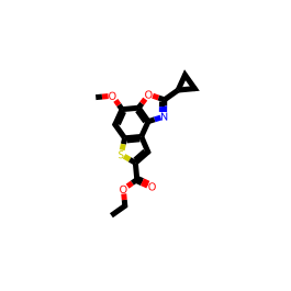 CCOC(=O)c1cc2c(cc(OC)c3oc(C4CC4)nc32)s1